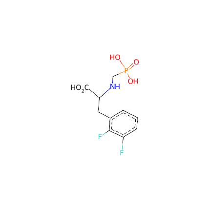 O=C(O)C(Cc1cccc(F)c1F)NCP(=O)(O)O